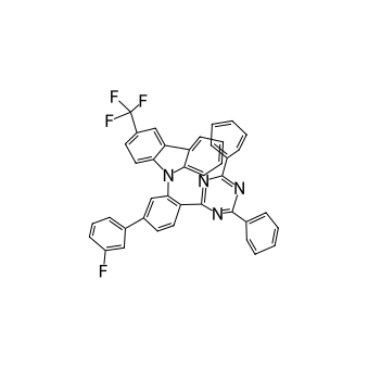 Fc1cccc(-c2ccc(-c3nc(-c4ccccc4)nc(-c4ccccc4)n3)c(-n3c4ccccc4c4cc(C(F)(F)F)ccc43)c2)c1